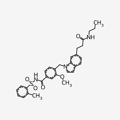 CCCNC(=O)CCc1ccc2ccn(Cc3ccc(C(=O)NS(=O)(=O)c4ccccc4C)cc3OC)c2c1